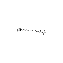 C=C(C)C(=O)OCCCCCCCCCCCCCC[Si](C)(C)I